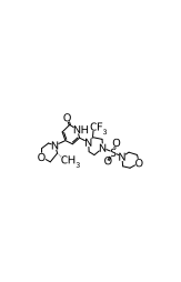 C[C@@H]1COCCN1c1cc(N2CCN(S(=O)(=O)N3CCOCC3)CC2C(F)(F)F)[nH]c(=O)c1